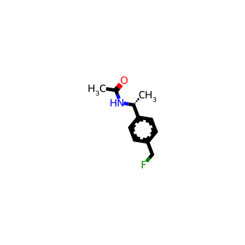 CC(=O)N[C@H](C)c1ccc(CF)cc1